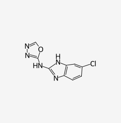 Clc1ccc2nc(Nc3nnco3)[nH]c2c1